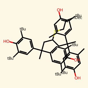 CCCCCCCCCCCCSC(CC(C)(c1cc(C(C)(C)C)c(O)c(C(C)(C)C)c1)c1cc(C(C)(C)C)c(O)c(C(C)(C)C)c1)CC(C)(c1cc(C(C)(C)C)c(O)cc1C)c1cc(C(C)(C)C)c(O)cc1C